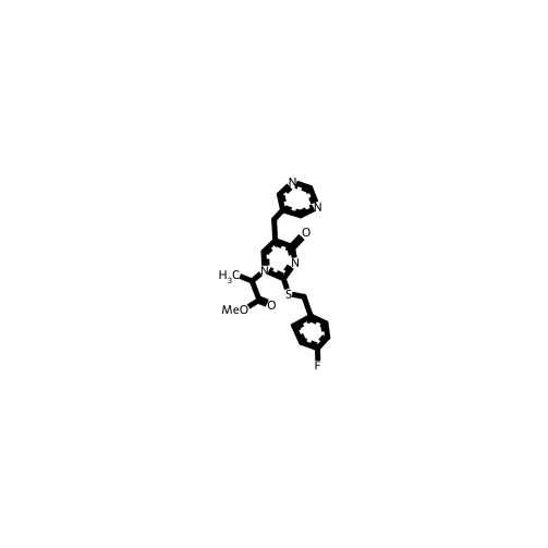 COC(=O)C(C)n1cc(Cc2cncnc2)c(=O)nc1SCc1ccc(F)cc1